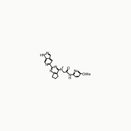 COc1ccc(NC(=O)CN(C)c2nc(-c3cc4cn[nH]c4cn3)nc3c2CCC3)nc1